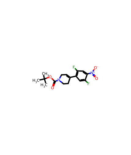 CC(C)(C)OC(=O)N1CC=C(c2cc(F)c([N+](=O)[O-])cc2F)CC1